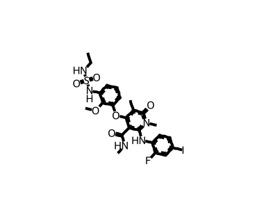 CCNS(=O)(=O)Nc1cccc(Oc2c(C(=O)NC)c(Nc3ccc(I)cc3F)n(C)c(=O)c2C)c1OC